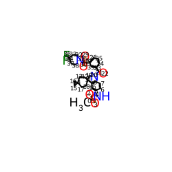 CS(=O)(=O)Nc1ccc2c(c1)C1(CCC3(CC3)CC1)CN2C(=O)c1cccc(S(=O)(=O)N2CCC(F)(F)CC2)c1